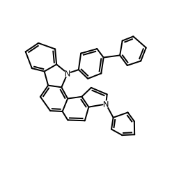 c1ccc(-c2ccc(-n3c4ccccc4c4ccc5ccc6c(ccn6-c6ccccc6)c5c43)cc2)cc1